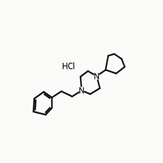 Cl.c1ccc(CCN2CCN(C3CCCCC3)CC2)cc1